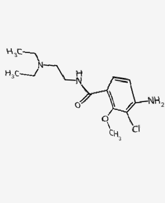 CCN(CC)CCNC(=O)c1ccc(N)c(Cl)c1OC